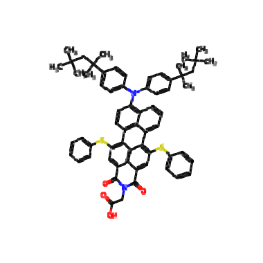 CC(C)(C)CC(C)(C)c1ccc(N(c2ccc(C(C)(C)CC(C)(C)C)cc2)c2ccc3c4c(Sc5ccccc5)cc5c6c(cc(Sc7ccccc7)c(c7cccc2c73)c64)C(=O)N(CC(=O)O)C5=O)cc1